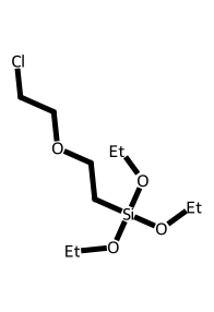 CCO[Si](CCOCCCl)(OCC)OCC